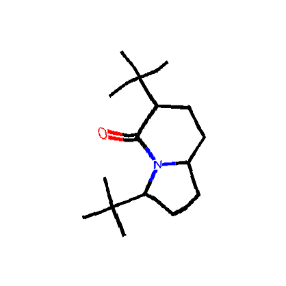 CC(C)(C)C1CCC2CCC(C(C)(C)C)N2C1=O